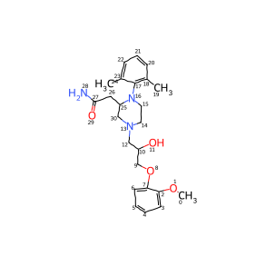 COc1ccccc1OCC(O)CN1CCN(c2c(C)cccc2C)C(CC(N)=O)C1